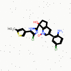 Nc1ccc(Cl)cc1-c1cc2c([n+]([O-])c1)C(O)(c1nc(Cl)c(-c3csc(C(=O)O)c3)[nH]1)CC2